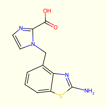 Nc1nc2c(Cn3ccnc3C(=O)O)cccc2s1